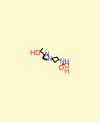 CC(O)c1ccn([C@H]2C[C@H](NC(=O)O)C2)n1